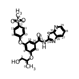 CC(CO)Oc1cc(Oc2ccc(S(C)(=O)=O)cc2)cc(C(=O)Nc2nc3cccnc3s2)c1